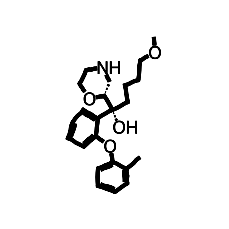 COCCCC[C@@](O)(c1ccccc1Oc1ccccc1C)[C@H]1CNCCO1